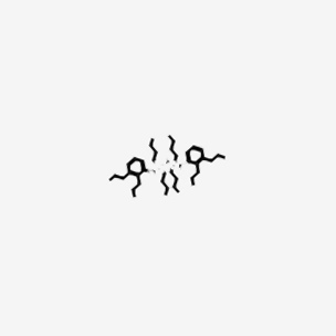 CCC[CH2][Sn]([CH2]CCC)([O]c1cccc(CCC)c1CCC)[O][Sn]([CH2]CCC)([CH2]CCC)[O]c1cccc(CCC)c1CCC